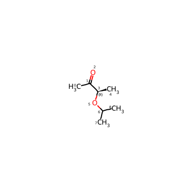 CC(=O)[C@@H](C)OC(C)C